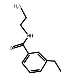 CCc1cccc(C(=O)NCCN)c1